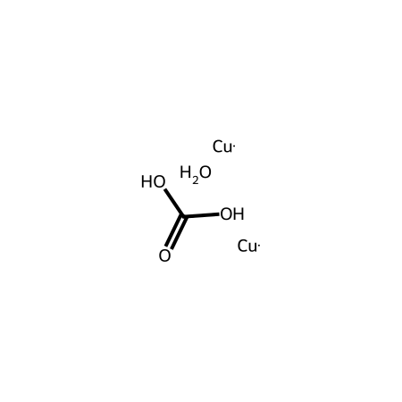 O.O=C(O)O.[Cu].[Cu]